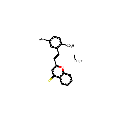 CCCc1ccc(C(=O)O)c(C=Cc2cc(=S)c3ccccc3o2)c1.CCOC(C)=O